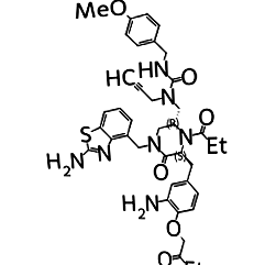 C#CCN(C[C@H]1CN(Cc2cccc3sc(N)nc23)C(=O)[C@H](Cc2ccc(OCC(=O)CC)c(N)c2)N1C(=O)CC)C(=O)NCc1ccc(OC)cc1